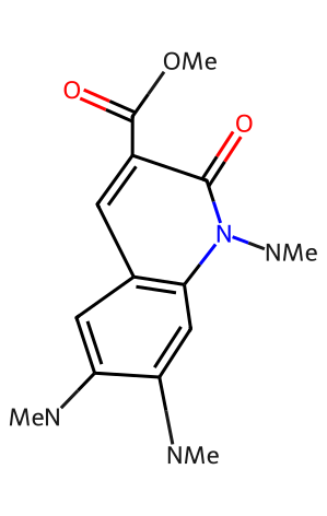 CNc1cc2cc(C(=O)OC)c(=O)n(NC)c2cc1NC